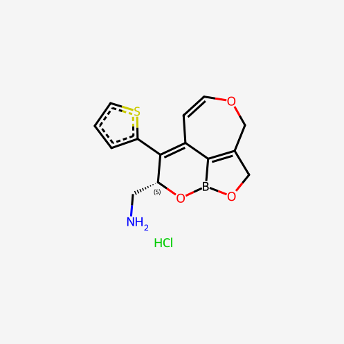 Cl.NC[C@H]1OB2OCC3=C2C(=C1c1cccs1)C=COC3